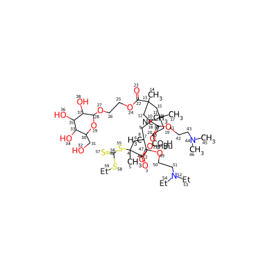 CCCCOC(=O)C(C)(CC(C)(CC(C)(CC(C)(CC(C)(C#N)CCC(=O)O)C(=O)OCCOC1OC(CO)C(O)C(O)C1O)C(=O)OCCN(C)C)C(=O)OCCN(CC)CC)SC(=S)SCC